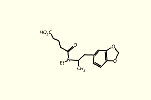 CCN(C(=O)CCCC(=O)O)C(C)Cc1ccc2c(c1)OCO2